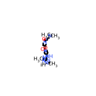 Cc1nc(NC2CCN(C(=O)O[C@@H]3CCN(C(=O)/C=C/CN(C)C)C3)CC2)c2nc(C)n(C(C)C)c2n1